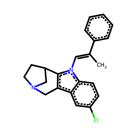 C/C(=C\n1c2c(c3cc(Cl)ccc31)CN1CCC2C1)c1ccccc1